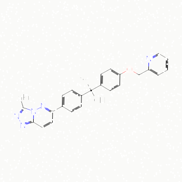 CCCc1nnc2ccc(-c3ccc(C(C)(c4ccc(OCc5ccccn5)cc4)C(C)C)cc3)nn12